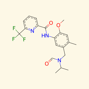 COc1cc(C)c(CN(C=O)C(C)C)cc1NC(=O)c1cccc(C(F)(F)F)n1